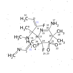 C=N/C=C(/Cl)N(C)C(C)(/C(F)=C\C)[C@@]1(C)N=C(N)C(C)(C)S(=O)(=O)C1(F)F